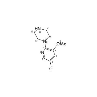 COc1cc(F)cnc1N1CCNCC1